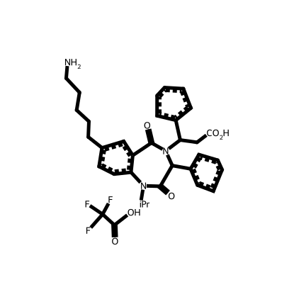 CC(C)N1C(=O)C(c2ccccc2)N(C(CC(=O)O)c2ccccc2)C(=O)c2cc(CCCCCN)ccc21.O=C(O)C(F)(F)F